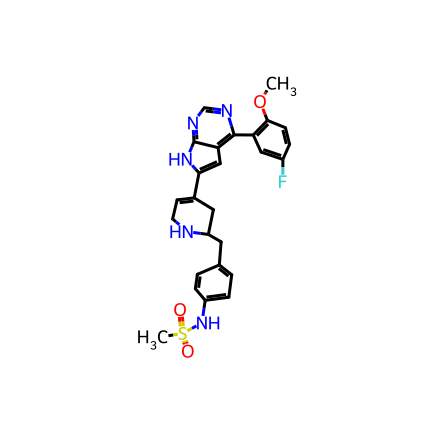 COc1ccc(F)cc1-c1ncnc2[nH]c(C3=CCNC(Cc4ccc(NS(C)(=O)=O)cc4)C3)cc12